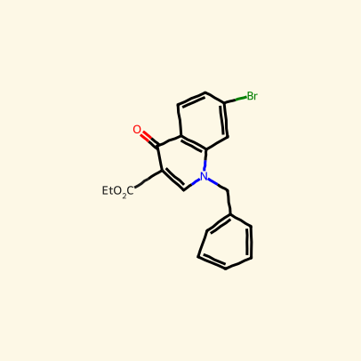 CCOC(=O)c1cn(Cc2ccccc2)c2cc(Br)ccc2c1=O